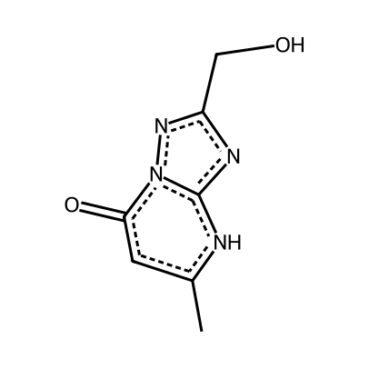 Cc1cc(=O)n2nc(CO)nc2[nH]1